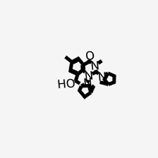 Cc1cc2c(c(C(C)O)c1)N(N1CC3CCC1C3)C(N1CC3CCC1C3)N(C)C2=O